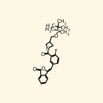 CC(C)(C)[Si](C)(C)OCC1CN(C(=O)c2cc(C=C3OC(=O)c4ccccc43)ccc2F)C1